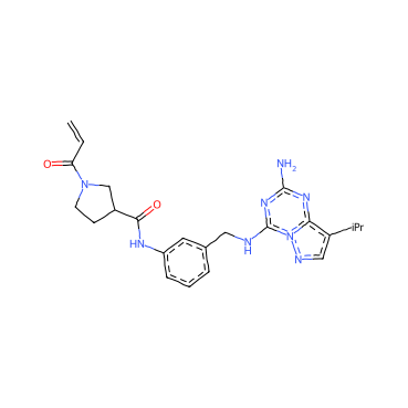 C=CC(=O)N1CCC(C(=O)Nc2cccc(CNc3nc(N)nc4c(C(C)C)cnn34)c2)C1